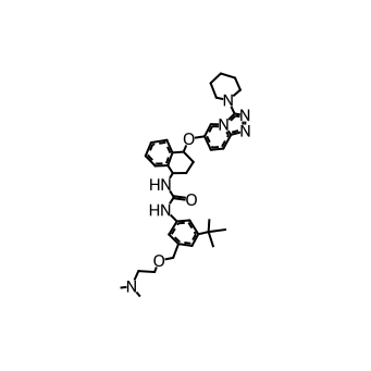 CN(C)CCOCc1cc(NC(=O)NC2CCC(Oc3ccc4nnc(N5CCCCC5)n4c3)c3ccccc32)cc(C(C)(C)C)c1